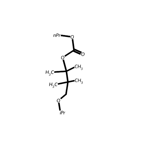 CCCOC(=O)OC(C)(C)C(C)(C)COC(C)C